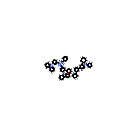 C1=Cc2c(n(-c3ccccc3)c3ccc(-c4ccc5c(c4)c4ccccc4n5-c4ccc(-c5cc(-c6nc(-c7ccccc7)nc(-c7cccc(-n8c9ccccc9c9ccccc98)c7)n6)ccc5-n5c6c(c7ccccc75)CCC=C6)cc4)cc23)C=CC1